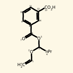 C=COC(CCC)OC(=O)c1cccc(C(=O)O)c1